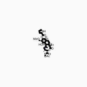 CCC(=NOC(C)=O)[C@H]1OC(=O)[C@H](CC)[C@H]2C=C[C@H]3[C@H]4O[C@]2(/C(C)=C/[C@H]1C)[C@@H]3[C@H](O)[C@@H](COC)[C@H]4OC(=O)c1ccc[nH]1